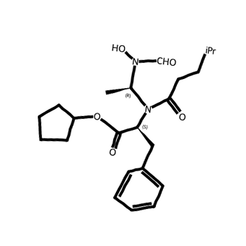 CC(C)CCC(=O)N([C@@H](Cc1ccccc1)C(=O)OC1CCCC1)[C@@H](C)N(O)C=O